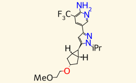 COCCO[C@H]1C[C@@H]2[C@H](C1)[C@H]2c1cc(-c2cnc(N)c(C(F)(F)F)c2)nn1C(C)C